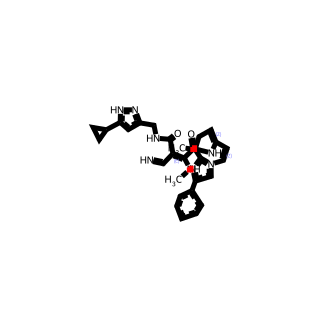 CN/C(C(=O)NC1=C\CC(C)c2nc(-c3ccccc3)cn2/C=C\1)=C(\C=N)C(=O)NCc1cc(C2CC2)[nH]n1